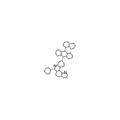 c1ccc(-c2nc3cc(-c4c5ccccc5c(-c5cccc6ccccc56)c5ccccc45)ccc3c3c2ccc2cccnc23)cc1